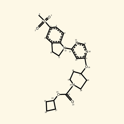 CS(=O)(=O)c1ccc2c(c1)CCN2c1cc(OC2CCN(C(=O)OC3CCC3)CC2)ncn1